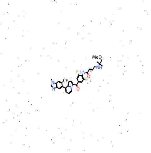 COCC(C)(C)NC/C=C/C(=O)Nc1c(F)cc(C(=O)c2ccc3c(-c4cc5ncn(C)c5cc4C(F)(F)F)cccn23)cc1F